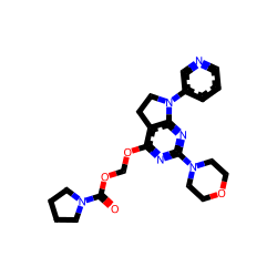 O=C(OCOc1nc(N2CCOCC2)nc2c1CCN2c1cccnc1)N1CCCC1